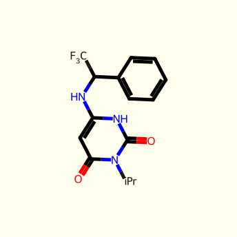 CC(C)n1c(=O)cc(NC(c2ccccc2)C(F)(F)F)[nH]c1=O